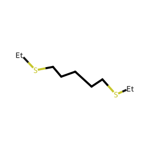 CCSCCCCCSCC